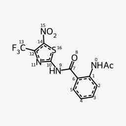 CC(=O)Nc1ccccc1C(=O)Nc1nc(C(F)(F)F)c([N+](=O)[O-])s1